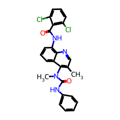 Cc1cnc2c(NC(=O)c3c(Cl)cccc3Cl)cccc2c1N(C)C(=O)Nc1ccccc1